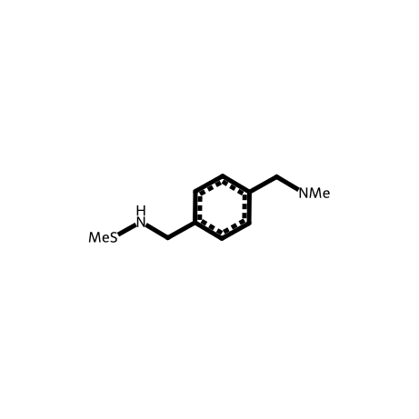 CNCc1ccc(CNSC)cc1